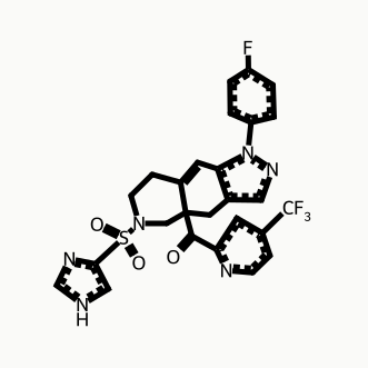 O=C(c1cc(C(F)(F)F)ccn1)C12Cc3cnn(-c4ccc(F)cc4)c3C=C1CCN(S(=O)(=O)c1c[nH]cn1)C2